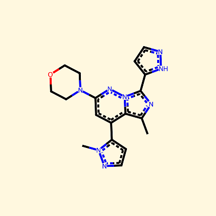 Cc1nc(-c2ccn[nH]2)n2nc(N3CCOCC3)cc(-c3ccnn3C)c12